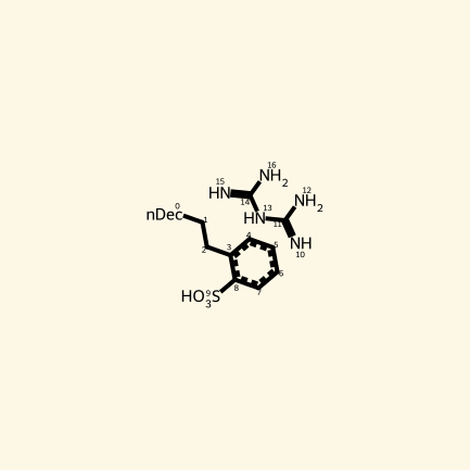 CCCCCCCCCCCCc1ccccc1S(=O)(=O)O.N=C(N)NC(=N)N